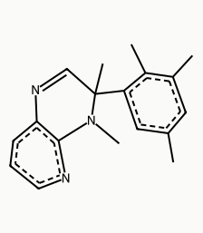 Cc1cc(C)c(C)c(C2(C)C=Nc3cccnc3N2C)c1